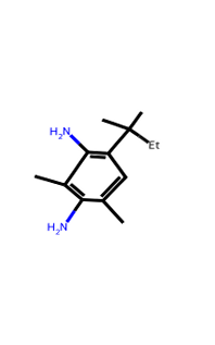 CCC(C)(C)c1cc(C)c(N)c(C)c1N